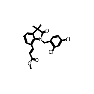 COC(=O)C=Cc1cccc2c1N(Cc1ccc(Cl)cc1Cl)C(=O)C2(C)C